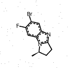 C[C@@H]1CCc2nc3cc(Br)c(F)cc3n21